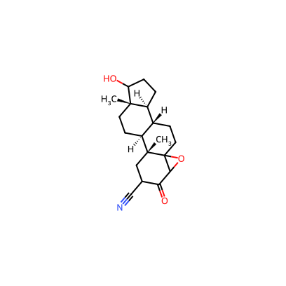 C[C@]12CC[C@H]3[C@@H](CCC45OC4C(=O)C(C#N)C[C@]35C)[C@@H]1CCC2O